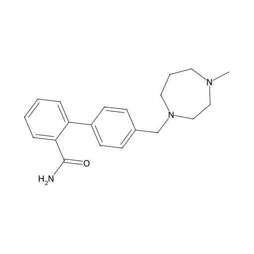 CN1CCCN(Cc2ccc(-c3ccccc3C(N)=O)cc2)CC1